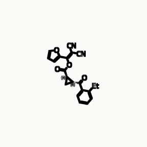 CCc1ccccc1C(=O)[C@@H]1C[C@H]1C(=O)OC(=C(C#N)C#N)c1ccco1